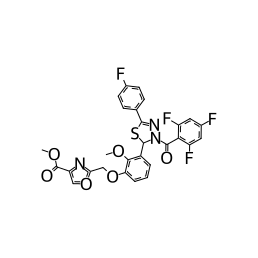 COC(=O)c1coc(COc2cccc(C3SC(c4ccc(F)cc4)=NN3C(=O)c3c(F)cc(F)cc3F)c2OC)n1